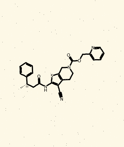 C[C@@H](CC(=O)Nc1sc2c(c1C#N)CCN(C(=O)OCc1ccccn1)C2)c1ccccc1